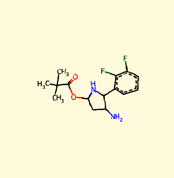 CC(C)(C)C(=O)OC1CC(N)C(c2cccc(F)c2F)N1